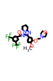 COc1ccc(C2N=C3C=CC=CN3C2NC(=O)c2cc(C(F)(F)F)cc(C(F)(F)F)c2)cc1OCCN1CCOCC1